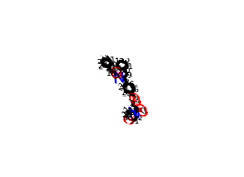 O=C(COc1ccc(C(Cc2ccccc2)=NOCc2ccccc2)cc1)N1CCOCC1